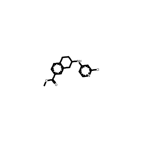 COC(=O)c1ccc2c(c1)CC(Nc1ccnc(Cl)c1)CC2